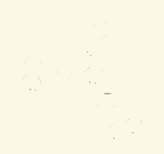 Clc1cccc(-c2nc3c(-c4ccc(-c5cccc6ccccc56)cc4)cc(-c4ccc(-c5cccc6ccccc56)cc4)cc3o2)c1